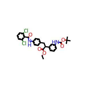 CCOC(=O)C(Cc1ccc(NC(=O)c2c(Cl)cccc2Cl)cc1)c1cccc(NC(=O)OC(C)(C)C)c1